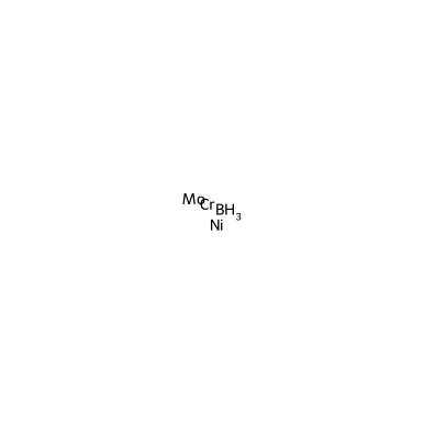 B.[Cr].[Mo].[Ni]